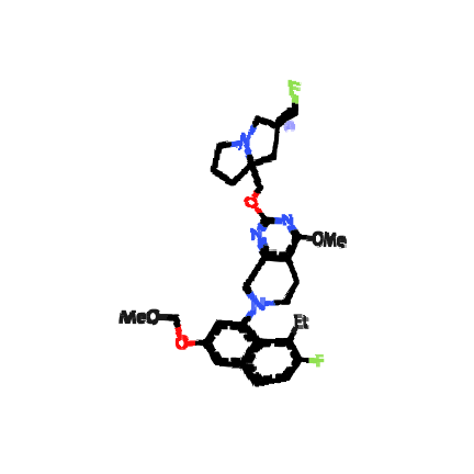 CCc1c(F)ccc2cc(OCOC)cc(N3CCc4c(nc(OCC56CCCN5C/C(=C\F)C6)nc4OC)C3)c12